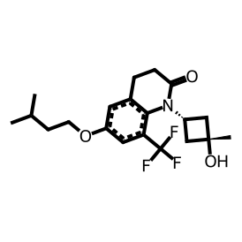 CC(C)CCOc1cc2c(c(C(F)(F)F)c1)N([C@H]1C[C@@](C)(O)C1)C(=O)CC2